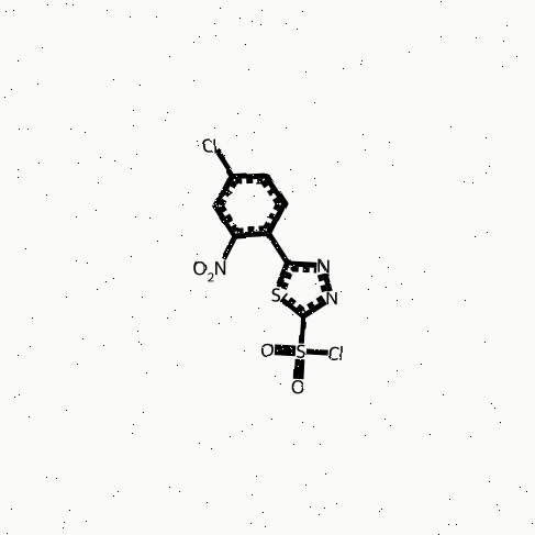 O=[N+]([O-])c1cc(Cl)ccc1-c1nnc(S(=O)(=O)Cl)s1